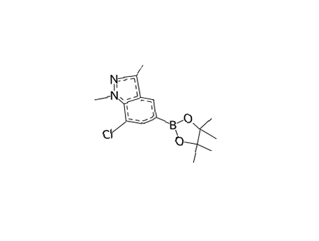 Cc1nn(C)c2c(Cl)cc(B3OC(C)(C)C(C)(C)O3)cc12